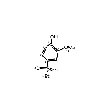 CCS(=O)(=O)c1ccc(O)c(OC)c1